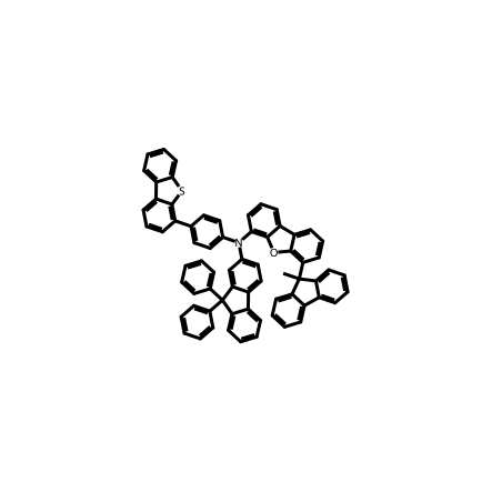 CC1(c2cccc3c2oc2c(N(c4ccc(-c5cccc6c5sc5ccccc56)cc4)c4ccc5c(c4)C(c4ccccc4)(c4ccccc4)c4ccccc4-5)cccc23)c2ccccc2-c2ccccc21